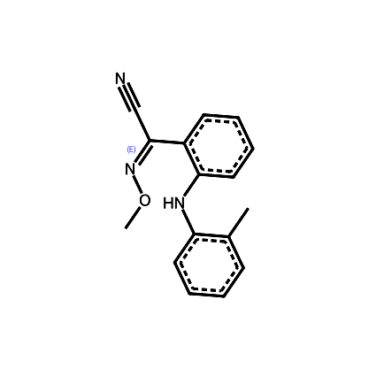 CO/N=C(/C#N)c1ccccc1Nc1ccccc1C